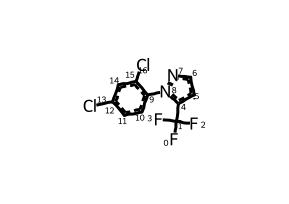 FC(F)(F)c1[c]cnn1-c1ccc(Cl)cc1Cl